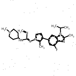 C=N/C(=N\n1ccc(-c2cc(F)c3nc(C)n(C(C)C)c3c2)c1C)NC1CCN(C)CC1